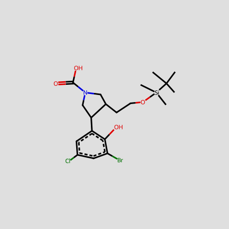 CC(C)(C)[Si](C)(C)OCCC1CN(C(=O)O)CC1c1cc(Cl)cc(Br)c1O